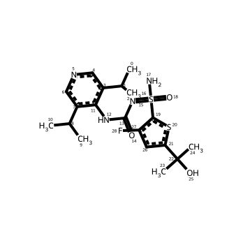 CC(C)c1cncc(C(C)C)c1NC(=O)N=S(N)(=O)c1sc(C(C)(C)O)cc1F